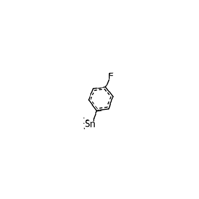 Fc1cc[c]([Sn])cc1